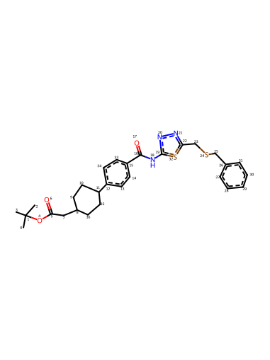 CC(C)(C)OC(=O)CC1CCC(c2ccc(C(=O)Nc3nnc(CSCc4ccccc4)s3)cc2)CC1